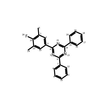 Cc1cc(-c2nc(-c3ccccc3)nc(-c3ccccc3)n2)cc(C)c1F